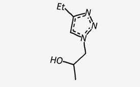 CCc1cn(CC(C)O)nn1